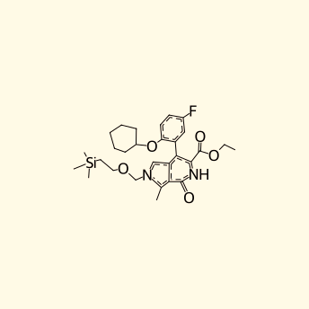 CCOC(=O)c1[nH]c(=O)c2c(C)n(COCC[Si](C)(C)C)cc2c1-c1cc(F)ccc1OC1CCCCC1